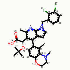 Cc1nc2c(ccn2Cc2cccc(F)c2F)c(-c2ccc3c(c2C)N(C)CCO3)c1[C@H](OC(C)(C)C)C(=O)O